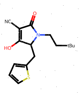 CC(C)(C)CCN1C(=O)C(C#N)=C(O)C1Cc1cccs1